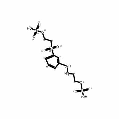 O=S(=O)(O)OCCNNc1cccc(S(=O)(=O)CCOS(=O)(=O)O)c1